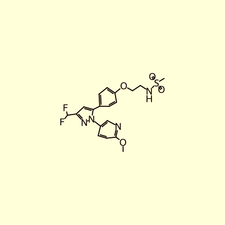 COc1ccc(-n2nc(C(F)F)cc2-c2ccc(OCCNS(C)(=O)=O)cc2)cn1